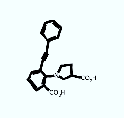 O=C(O)c1cccc(C#Cc2ccccc2)c1N1CCC(C(=O)O)C1